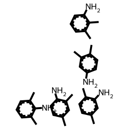 Cc1ccc(C)c(N)c1.Cc1ccc(N)c(C)c1.Cc1ccc(N)cc1C.Cc1cccc(C)c1N.Cc1cccc(N)c1C